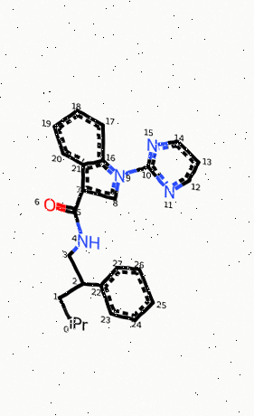 CC(C)CC(CNC(=O)c1cn(-c2ncccn2)c2ccccc12)c1ccccc1